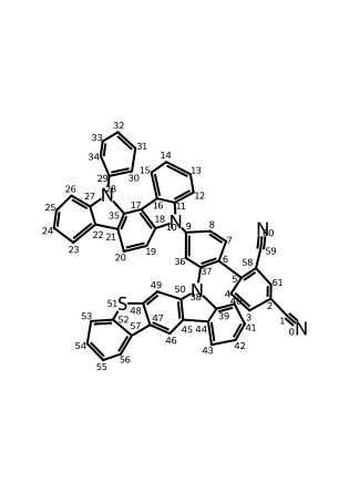 N#Cc1ccc(-c2ccc(-n3c4ccccc4c4c3ccc3c5ccccc5n(-c5ccccc5)c34)cc2-n2c3ccccc3c3cc4c(cc32)sc2ccccc24)c(C#N)c1